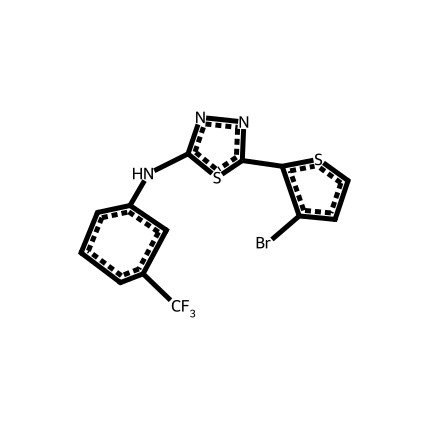 FC(F)(F)c1cccc(Nc2nnc(-c3sccc3Br)s2)c1